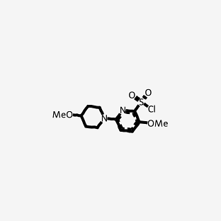 COc1ccc(N2CCC(OC)CC2)nc1S(=O)(=O)Cl